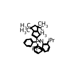 CC(C)c1cccc(C(C)C)c1N=P(C1=CC2=C(C1)C(C)(C)CC2(C)C)(c1ccccc1)c1ccccc1